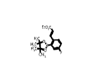 CCOC(=O)/C=C/c1ccc(F)cc1B1OC(C)(C)C(C)(C)O1